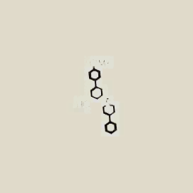 COc1ccc(C2=CCC[C@@H](CN3CC=C(c4ccccc4)CC3)C2)cc1.Cl